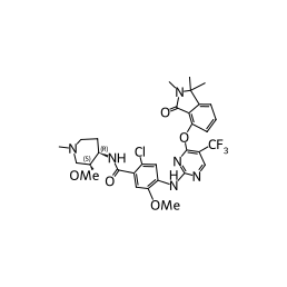 COc1cc(C(=O)N[C@@H]2CCN(C)C[C@@H]2OC)c(Cl)cc1Nc1ncc(C(F)(F)F)c(Oc2cccc3c2C(=O)N(C)C3(C)C)n1